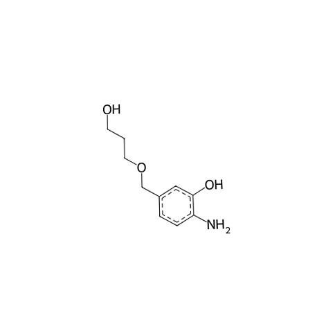 Nc1ccc(COCCCO)cc1O